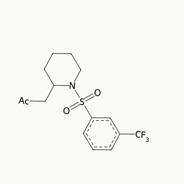 CC(=O)CC1CCCCN1S(=O)(=O)c1cccc(C(F)(F)F)c1